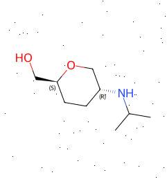 CC(C)N[C@@H]1CC[C@@H](CO)OC1